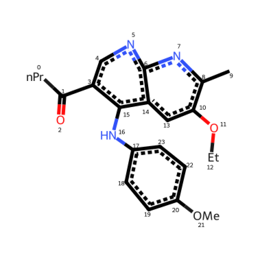 CCCC(=O)c1cnc2nc(C)c(OCC)cc2c1Nc1ccc(OC)cc1